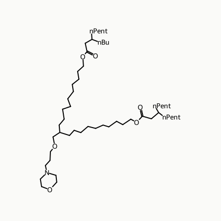 CCCCCC(CCCC)CC(=O)OCCCCCCCCCCC(CCCCCCCCCCOC(=O)CC(CCCCC)CCCCC)COCCCN1CCOCC1